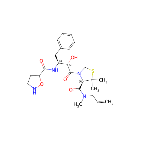 C=CCN(C)C(=O)[C@H]1N(C(=O)[C@@H](O)[C@H](Cc2ccccc2)NC(=O)C2=CCNO2)CSC1(C)C